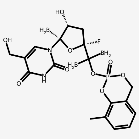 BC(B)(OP1(=O)OCc2cccc(C)c2O1)[C@]1(F)C[C@@H](O)[C@](B)(n2cc(CO)c(=O)[nH]c2=O)O1